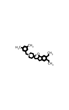 CCc1cc2c(cc1CC)C(=O)C(CC1(F)CCN(Cc3cc(C)cc(C)c3)CC1)C2